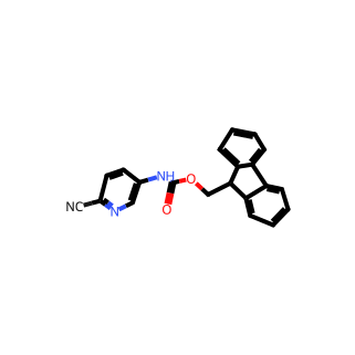 N#Cc1ccc(NC(=O)OCC2c3ccccc3-c3ccccc32)cn1